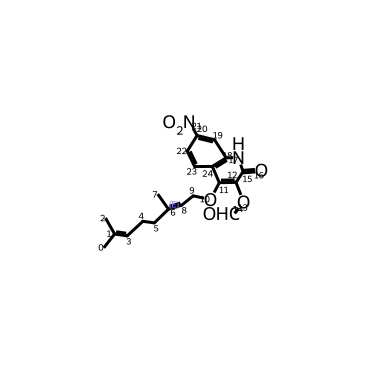 CC(C)=CCC/C(C)=C/COc1c(OC=O)c(=O)[nH]c2cc([N+](=O)[O-])ccc12